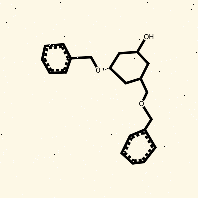 OC1CC(COCc2ccccc2)C[C@H](OCc2ccccc2)C1